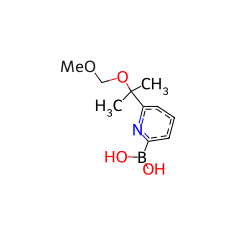 COCOC(C)(C)c1cccc(B(O)O)n1